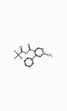 C[n+]1cc(-c2ccccc2)c(C(=O)OC(=O)C(F)(F)F)cn1